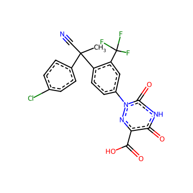 CC(C#N)(c1ccc(Cl)cc1)c1ccc(-n2nc(C(=O)O)c(=O)[nH]c2=O)cc1C(F)(F)F